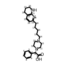 O=C(O)[C@H](c1ccccc1)N1CCN(CCCCCc2ccc3c(n2)NCCC3)CC1